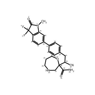 CN1C(=O)C(F)(F)c2ccc(-c3ccc(CC(C#N)C4(C(N)=O)CNCCCO4)cc3)cc21